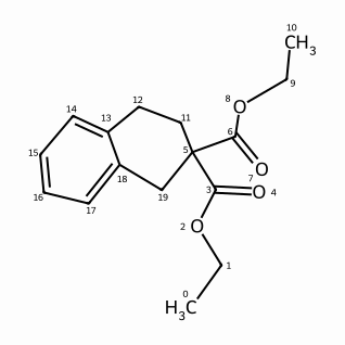 CCOC(=O)C1(C(=O)OCC)CCc2ccccc2C1